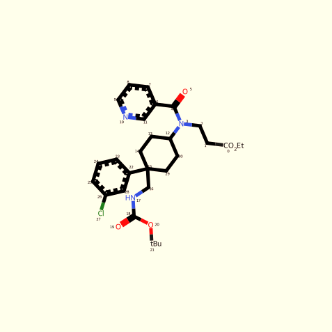 CCOC(=O)CCN(C(=O)c1cccnc1)C1CCC(CNC(=O)OC(C)(C)C)(c2cccc(Cl)c2)CC1